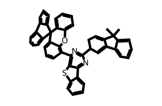 CC1(C)C2=CCC(c3nc(-c4cccc5c4Oc4ccccc4C54c5ccccc5-c5ccccc54)c4sc5ccccc5c4n3)C=C2c2ccccc21